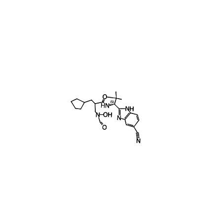 CC(C)(C)[C@H](NC(=O)C(CC1CCCC1)CN(O)C=O)c1nc2cc(C#N)ccc2[nH]1